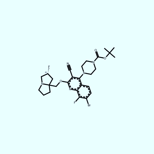 CC(C)(C)OC(=O)N1CCN(c2c(C#N)c(OCC34CCCN3C[C@H](F)C4)nc3c(F)c(Br)ccc23)CC1